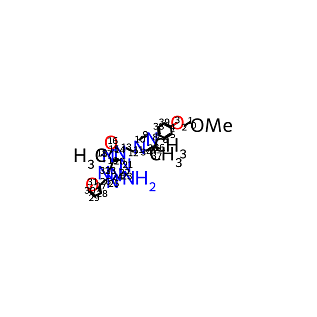 COCCOc1ccc(N2CCN(CCn3c(=O)n(C)c4c3nc(N)n3nc(-c5ccco5)nc43)CC2(C)C)cc1